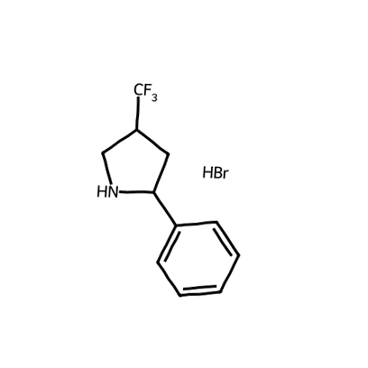 Br.FC(F)(F)C1CNC(c2ccccc2)C1